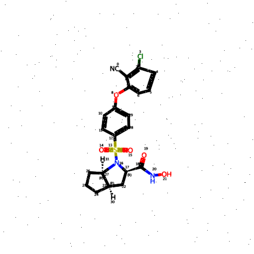 N#Cc1c(Cl)cccc1Oc1ccc(S(=O)(=O)N2[C@@H](C(=O)NO)C[C@H]3CCC[C@H]32)cc1